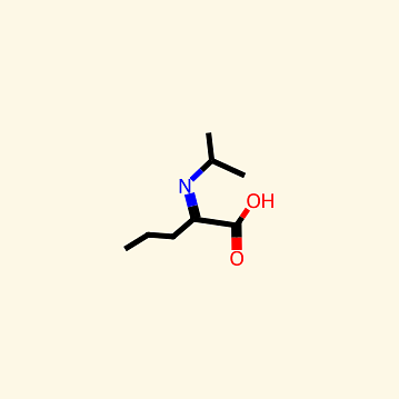 CCCC(=NC(C)C)C(=O)O